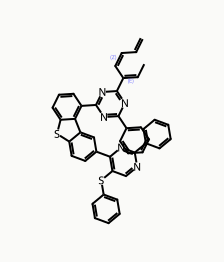 C=C/C=C\C(=C/C)c1nc(-c2ccccc2)nc(-c2cccc3sc4ccc(-c5nc(-c6ccccc6)ncc5Sc5ccccc5)cc4c23)n1